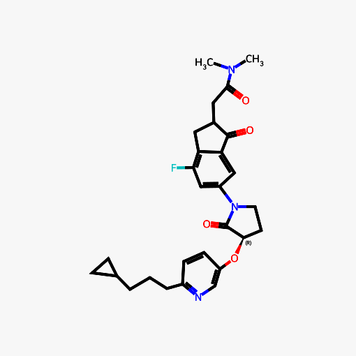 CN(C)C(=O)CC1Cc2c(F)cc(N3CC[C@@H](Oc4ccc(CCCC5CC5)nc4)C3=O)cc2C1=O